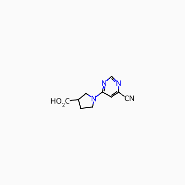 N#Cc1cc(N2CCC(C(=O)O)C2)ncn1